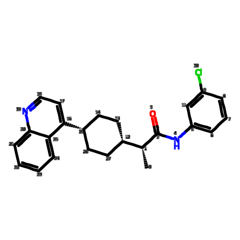 C[C@@H](C(=O)Nc1cccc(Cl)c1)[C@H]1CC[C@@H](c2ccnc3ccccc32)CC1